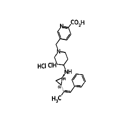 CC(=Cc1ccccc1)[C@@H]1C[C@H]1NC1CCN(Cc2ccc(C(=O)O)nc2)CC1.Cl.Cl